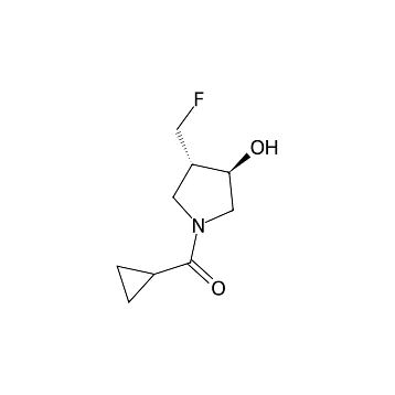 O=C(C1CC1)N1C[C@H](CF)[C@@H](O)C1